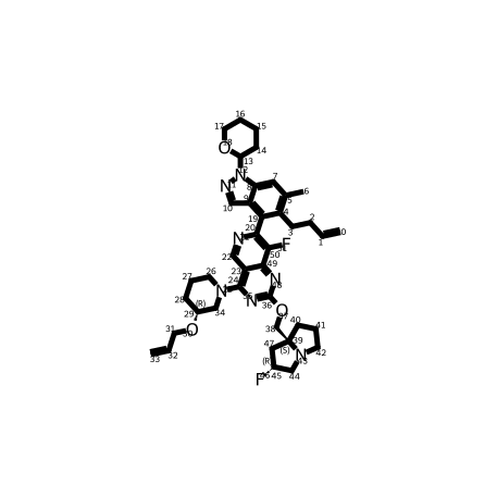 C=CCCc1c(C)cc2c(cnn2C2CCCCO2)c1-c1ncc2c(N3CCC[C@@H](OCC=C)C3)nc(OC[C@@]34CCCN3C[C@H](F)C4)nc2c1F